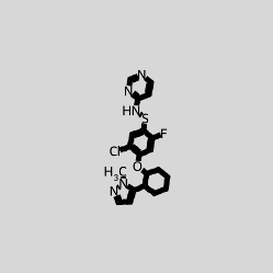 Cn1nccc1C1CCCCC1Oc1cc(F)c(SNc2ccncn2)cc1Cl